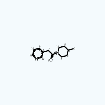 CC1CCN(C(=O)Cc2cccnc2)CC1